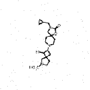 CCC1C(N2CCC3(CC2)CN(CC2CC2)C(=O)O3)CC12CCN(C(=O)O)C2